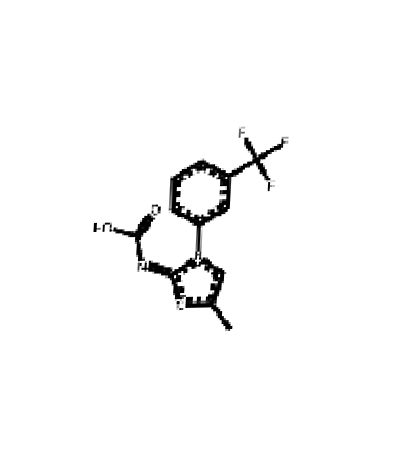 Cc1cn(-c2cccc(C(F)(F)F)c2)/c(=N\C(=O)O)o1